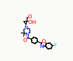 CC1(C)CN(C2CC2(O)C=O)CCN1C(=O)c1ccc(-c2nc3ccc(F)cc3o2)cc1